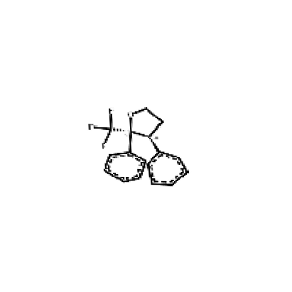 FC(F)(F)[C@]1(c2ccccc2)OCC[C@H]1c1ccccc1